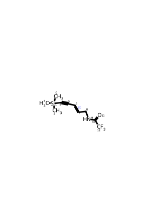 C[Si](C)(C)C#C/C=C/CNC(=O)C(F)(F)F